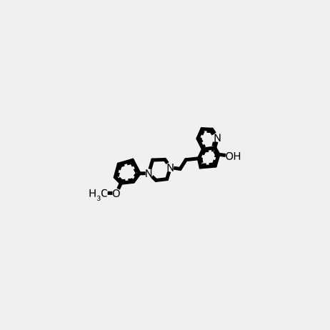 COc1cccc(N2CCN(CCc3ccc(O)c4ncccc34)CC2)c1